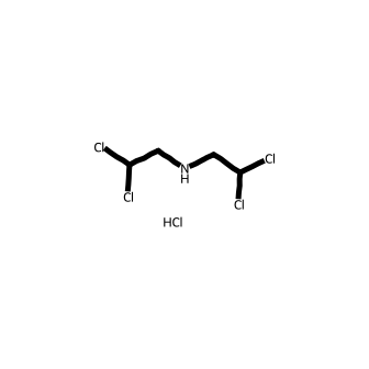 Cl.ClC(Cl)CNCC(Cl)Cl